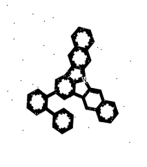 C1=C2C(Cc3ccccc31)c1cc(-c3ccccc3-c3ccccc3)cc3c4cc5ccccc5cc4n2c13